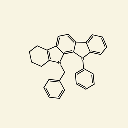 c1ccc(Cn2c3c(c4ccc5c6ccccc6n(-c6ccccc6)c5c42)CCCC3)cc1